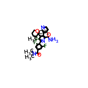 CC1CCCOC1(C)c1c(F)c(-c2c(F)cc(C(=O)N(C)C)cc2F)nc(C(N)=O)c1-c1cccnc1